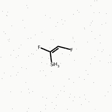 FC=C(F)[SiH3]